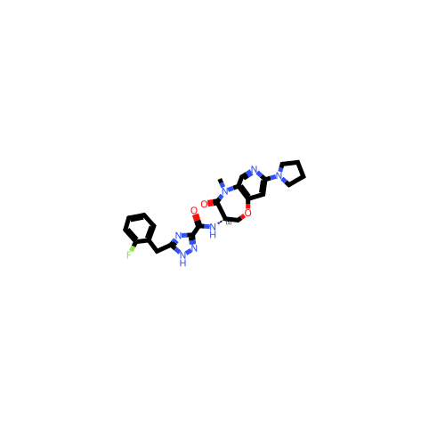 CN1C(=O)[C@@H](NC(=O)c2n[nH]c(Cc3ccccc3F)n2)COc2cc(N3CCCC3)ncc21